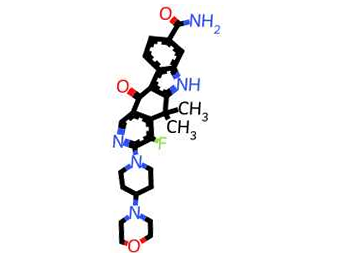 CC1(C)c2[nH]c3cc(C(N)=O)ccc3c2C(=O)c2cnc(N3CCC(N4CCOCC4)CC3)c(F)c21